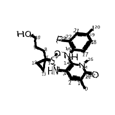 Cc1cc(N[S+]([O-])C2(CCCO)CC2)c(Nc2ccc(I)cc2F)n(C)c1=O